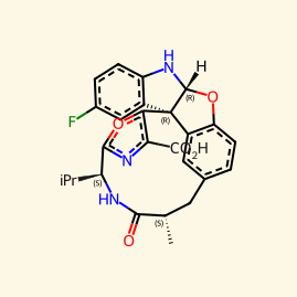 CC(C)[C@@H]1NC(=O)[C@@H](C)Cc2ccc3c(c2)[C@@]2(c4cc(F)ccc4N[C@@H]2O3)c2oc1nc2C(=O)O